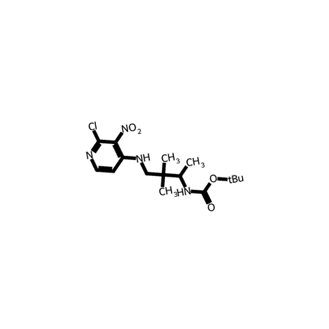 CC(NC(=O)OC(C)(C)C)C(C)(C)CNc1ccnc(Cl)c1[N+](=O)[O-]